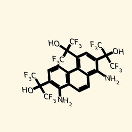 Nc1c(C(O)(C(F)(F)F)C(F)(F)F)ccc2c1ccc1c(N)c(C(O)(C(F)(F)F)C(F)(F)F)cc(C(O)(C(F)(F)F)C(F)(F)F)c12